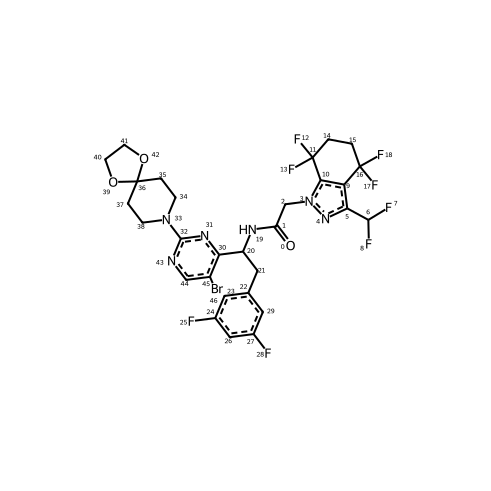 O=C(Cn1nc(C(F)F)c2c1C(F)(F)CCC2(F)F)NC(Cc1cc(F)cc(F)c1)c1nc(N2CCC3(CC2)OCCO3)ncc1Br